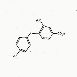 CC(=O)c1ccc(Cc2ccc(C(=O)O)cc2C)cc1